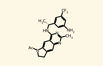 CC(=O)N1CCc2cc3nc(C)nc(N[C@H](C)c4cc(N)cc(C(F)(F)F)c4)c3cc21